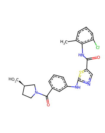 Cc1cccc(Cl)c1NC(=O)c1cnc(Nc2cccc(C(=O)N3CC[C@@H](C(=O)O)C3)c2)s1